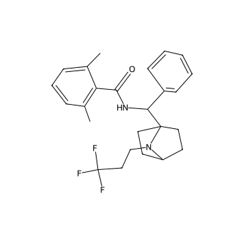 Cc1cccc(C)c1C(=O)NC(c1ccccc1)C12CCC(CC1)N2CCC(F)(F)F